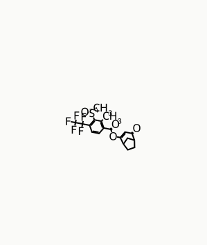 Cc1c(C(=O)OC2=CC(=O)C3CCC2C3)ccc(C(F)(F)C(F)(F)F)c1[S+](C)[O-]